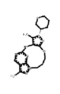 Cc1nn2c3nc(ncc13)Nc1c(nn([C@H]3CCCOC3)c1C)OCCC2